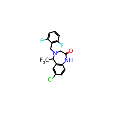 O=C1CN(Cc2c(F)cccc2F)C(C(F)(F)F)c2cc(Cl)ccc2N1